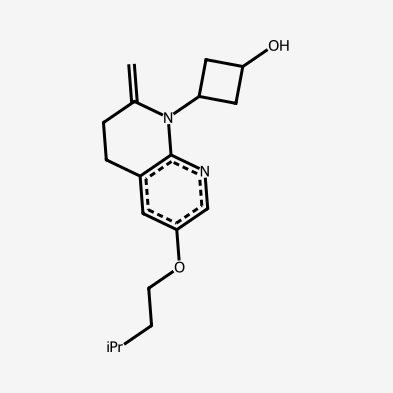 C=C1CCc2cc(OCCC(C)C)cnc2N1C1CC(O)C1